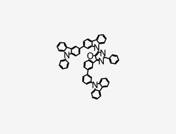 c1ccc(-c2nc(-n3c4ccccc4c4ccc(-c5ccc6c(c5)c5ccccc5n6-c5ccccc5)cc43)c3oc4ccc(-c5cccc(-n6c7ccccc7c7ccccc76)c5)cc4c3n2)cc1